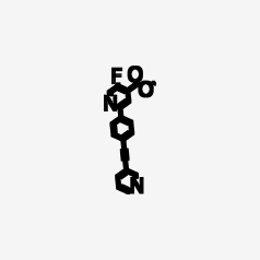 COC(=O)c1cc(-c2ccc(C#Cc3cccnc3)cc2)ncc1F